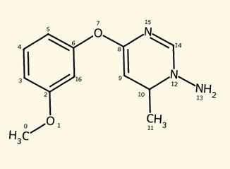 COc1cccc(OC2=CC(C)N(N)C=N2)c1